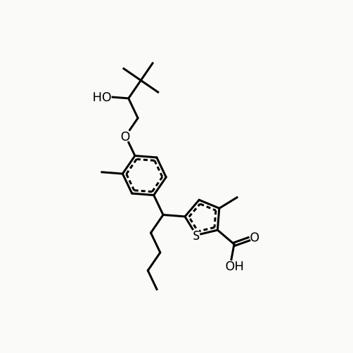 CCCCC(c1ccc(OCC(O)C(C)(C)C)c(C)c1)c1cc(C)c(C(=O)O)s1